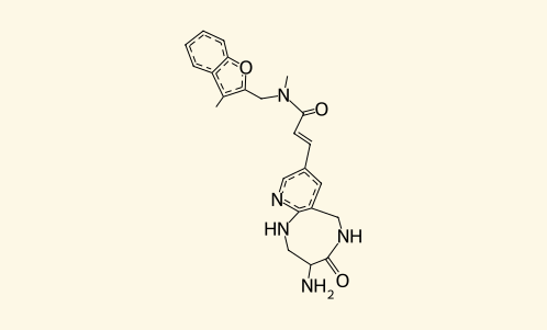 Cc1c(CN(C)C(=O)/C=C/c2cnc3c(c2)CNC(=O)C(N)CN3)oc2ccccc12